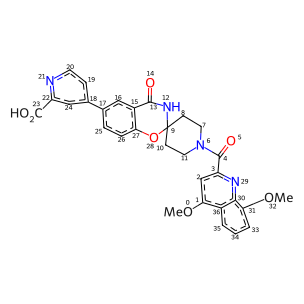 COc1cc(C(=O)N2CCC3(CC2)NC(=O)c2cc(-c4ccnc(C(=O)O)c4)ccc2O3)nc2c(OC)cccc12